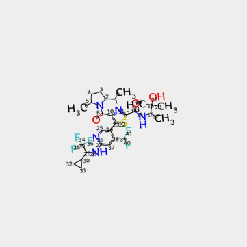 CCC1CCC(C)N1C(=O)c1nc(C(=O)NC(C)C(C)(C)O)sc1-c1cnc(NC(C2CC2)C(F)(F)F)cc1C(F)F